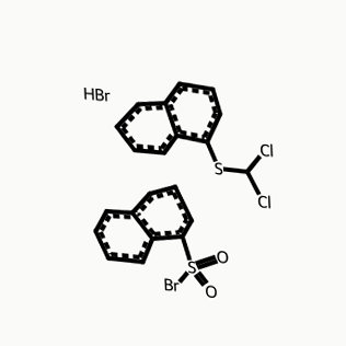 Br.ClC(Cl)Sc1cccc2ccccc12.O=S(=O)(Br)c1cccc2ccccc12